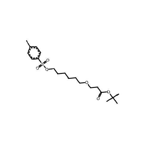 Cc1ccc(S(=O)(=O)OCCCCCCOCCC(=O)OC(C)(C)C)cc1